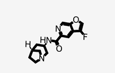 O=C(N[C@@H]1C[C@@H]2CCN(C2)C1)c1cc2c(F)coc2cn1